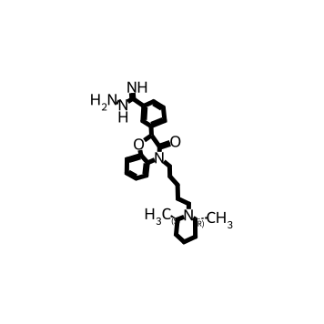 C[C@@H]1CCC[C@H](C)N1CCCCCN1C(=O)C(c2cccc(C(=N)NN)c2)Oc2ccccc21